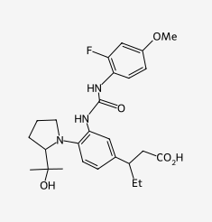 CCC(CC(=O)O)c1ccc(N2CCCC2C(C)(C)O)c(NC(=O)Nc2ccc(OC)cc2F)c1